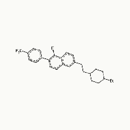 CCC1CCC(CCc2ccc3c(F)c(-c4ccc(C(F)(F)F)cc4)ccc3c2)CC1